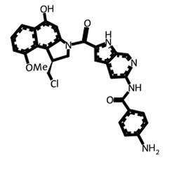 COc1cccc2c(O)cc3c(c12)[C@H](CCl)CN3C(=O)c1cc2cc(NC(=O)c3ccc(N)cc3)ncc2[nH]1